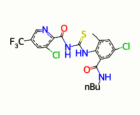 CCCCNC(=O)c1cc(Cl)cc(C)c1NC(=S)NC(=O)c1ncc(C(F)(F)F)cc1Cl